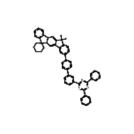 CC1(C)C2=CC3c4ccccc4C4(CCCCC4)C3C=C2c2cc(-c3ccc(-c4cccc(-c5nc(-c6ccccc6)nc(-c6ccccc6)n5)c4)cc3)ccc21